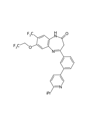 CC(C)c1ccc(-c2cccc(C3=Nc4cc(OCC(F)(F)F)c(C(F)(F)F)cc4NC(=O)C3)c2)cn1